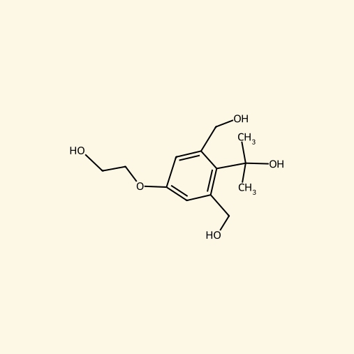 CC(C)(O)c1c(CO)cc(OCCO)cc1CO